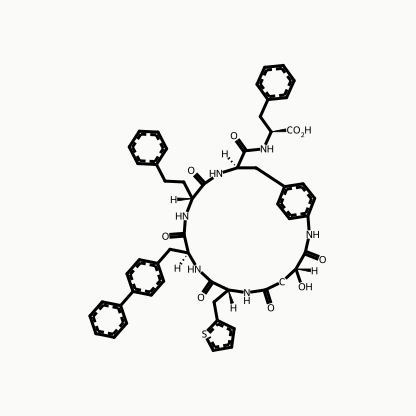 O=C1C[C@@H](O)C(=O)Nc2ccc(cc2)C[C@H](C(=O)N[C@@H](Cc2ccccc2)C(=O)O)NC(=O)[C@@H](CCc2ccccc2)NC(=O)[C@H](Cc2ccc(-c3ccccc3)cc2)NC(=O)[C@@H](Cc2cccs2)N1